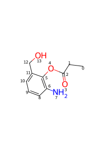 CCC(=O)Oc1c(N)cccc1CO